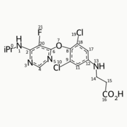 CC(C)Nc1ncnc(Oc2c(Cl)cc(NCCC(=O)O)cc2Cl)c1F